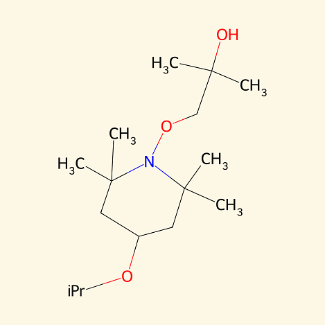 CC(C)OC1CC(C)(C)N(OCC(C)(C)O)C(C)(C)C1